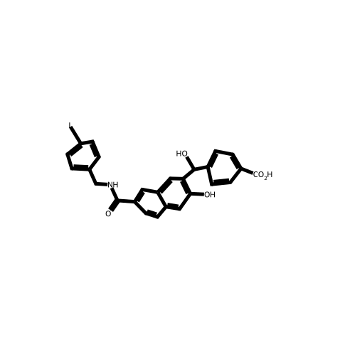 O=C(O)c1ccc(C(O)c2cc3cc(C(=O)NCc4ccc(I)cc4)ccc3cc2O)cc1